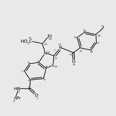 CCCNC(=O)c1ccc2c(c1)s/c(=N\C(=O)c1ccc(C)cc1)n2C(CC)C(=O)O